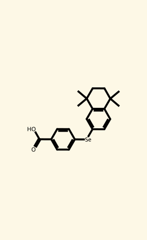 CC1(C)CCC(C)(C)c2cc([Se]c3ccc(C(=O)O)cc3)ccc21